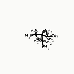 BC(B)(B)C(B)(C(B)(B)B)C(B)(B)O